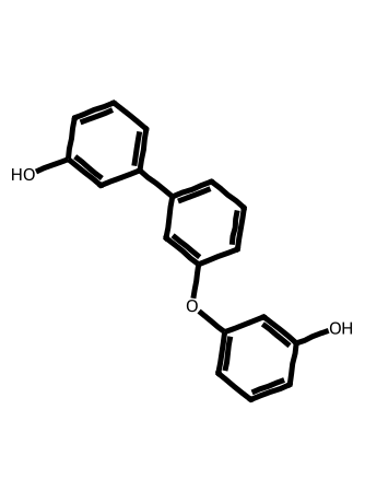 Oc1cccc(Oc2cccc(-c3cccc(O)c3)c2)c1